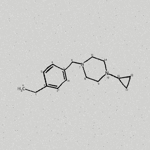 CCc1ccc(CN2CCN(C3CC3)CC2)cc1